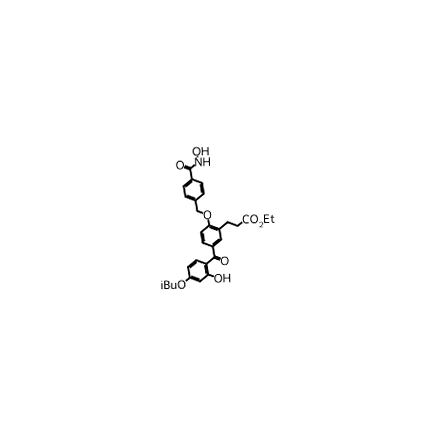 CCOC(=O)CCc1cc(C(=O)c2ccc(OCC(C)C)cc2O)ccc1OCc1ccc(C(=O)NO)cc1